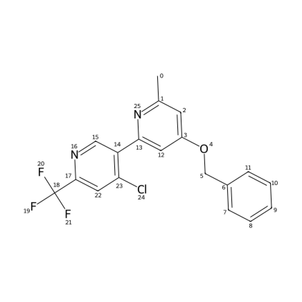 Cc1cc(OCc2ccccc2)cc(-c2cnc(C(F)(F)F)cc2Cl)n1